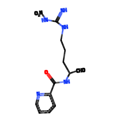 N=C(NCCCC(C=O)NC(=O)c1ccccn1)N[N+](=O)[O-]